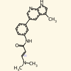 Cc1c[nH]c2ncc(-c3cccc(NC(=O)/C=C/N(C)C)c3)cc12